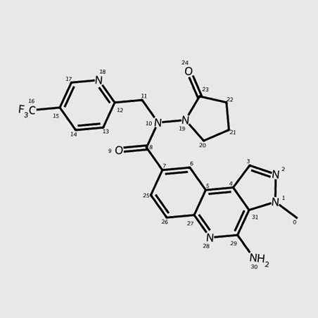 Cn1ncc2c3cc(C(=O)N(Cc4ccc(C(F)(F)F)cn4)N4CCCC4=O)ccc3nc(N)c21